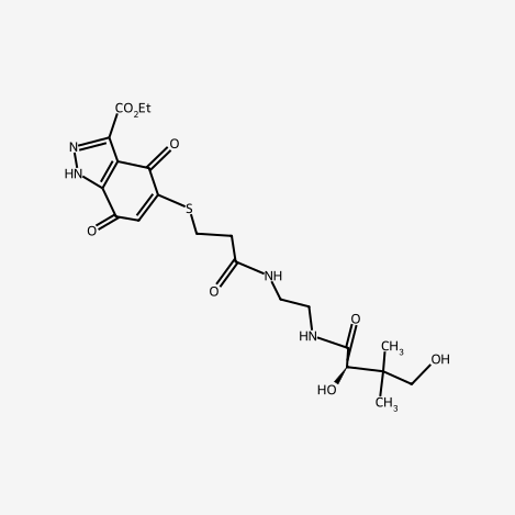 CCOC(=O)c1n[nH]c2c1C(=O)C(SCCC(=O)NCCNC(=O)[C@H](O)C(C)(C)CO)=CC2=O